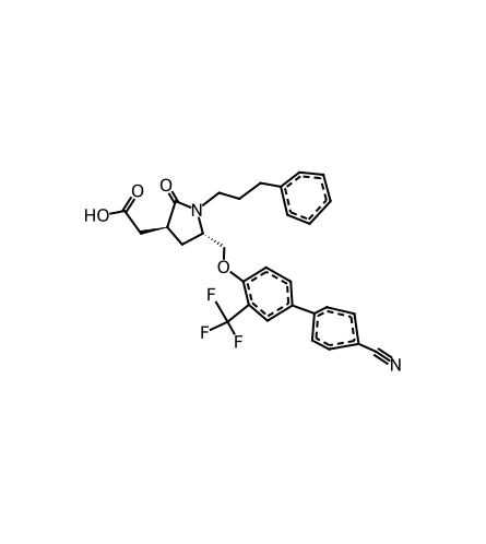 N#Cc1ccc(-c2ccc(OC[C@@H]3C[C@@H](CC(=O)O)C(=O)N3CCCc3ccccc3)c(C(F)(F)F)c2)cc1